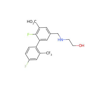 O=C(O)c1cc(CNCCO)cc(-c2ccc(F)cc2C(F)(F)F)c1F